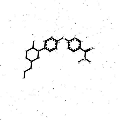 CCCC1CCC(C)C(c2ccc(Oc3ccc(C(=O)N(C)C)cn3)cc2)C1